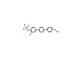 CCCc1ccc(-c2ccc(-c3ccc(OC(F)(F)F)c(F)c3)cc2)cc1